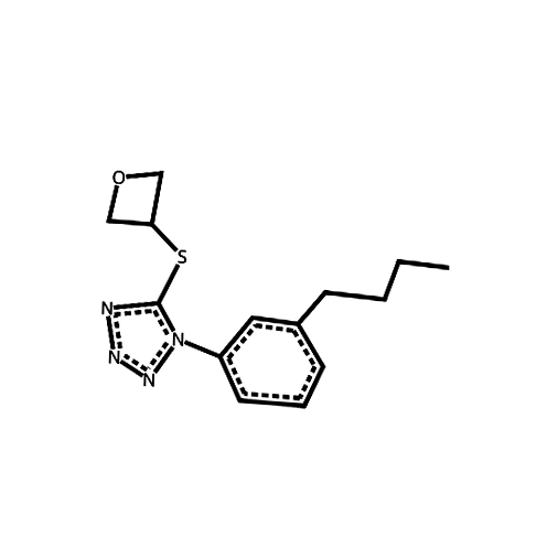 CCCCc1cccc(-n2nnnc2SC2COC2)c1